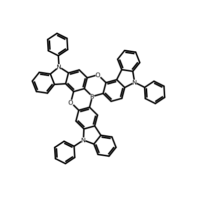 c1ccc(-n2c3ccccc3c3cc4c(cc32)Oc2c3c(cc5c2c2ccccc2n5-c2ccccc2)Oc2c(ccc5c2c2ccccc2n5-c2ccccc2)B43)cc1